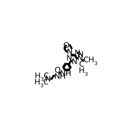 CC(C)n1nnc2c(N3CCOCC3)nc(-c3ccc(NC(=O)NCCN(C)C)cc3)nc21